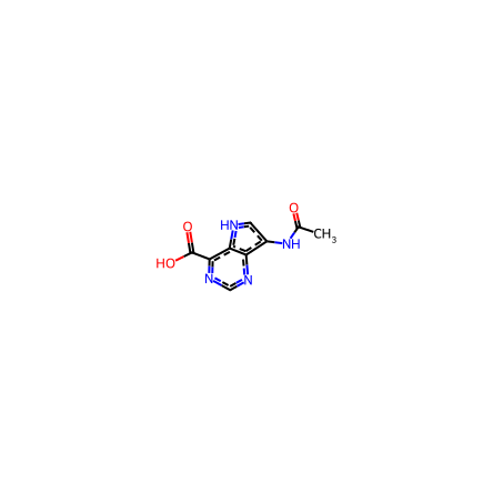 CC(=O)Nc1c[nH]c2c(C(=O)O)ncnc12